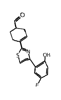 O=CC1CC=C(c2nc(-c3cc(F)ccc3O)cs2)CC1